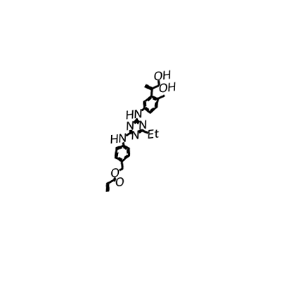 C=CC(=O)OCc1ccc(Nc2nc(CC)nc(Nc3ccc(C)c(C(=C)C(O)O)c3)n2)cc1